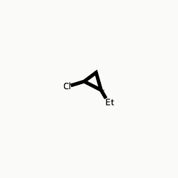 CC[C]1CC1Cl